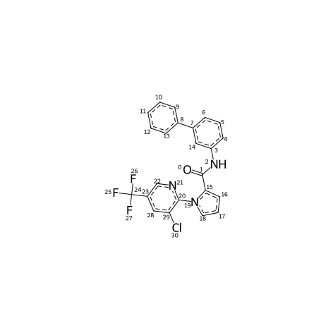 O=C(Nc1cccc(-c2ccccc2)c1)c1cccn1-c1ncc(C(F)(F)F)cc1Cl